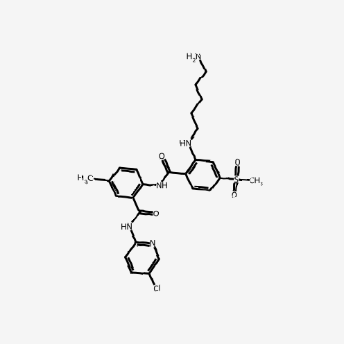 Cc1ccc(NC(=O)c2ccc(S(C)(=O)=O)cc2NCCCCCN)c(C(=O)Nc2ccc(Cl)cn2)c1